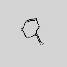 O=C1CSC=C[N]1